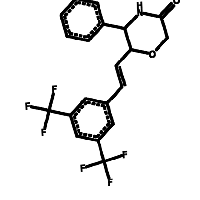 O=C1COC(C=Cc2cc(C(F)(F)F)cc(C(F)(F)F)c2)C(c2ccccc2)N1